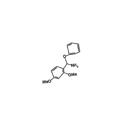 COc1ccc(C(N)Oc2ccccc2)c(OC)c1